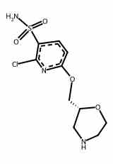 NS(=O)(=O)c1ccc(OC[C@H]2CNCCO2)nc1Cl